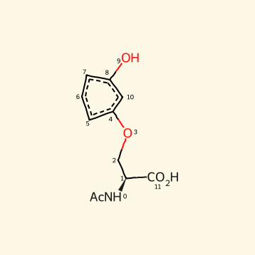 CC(=O)N[C@@H](COc1cccc(O)c1)C(=O)O